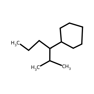 CCC[C](C(C)C)C1CCCCC1